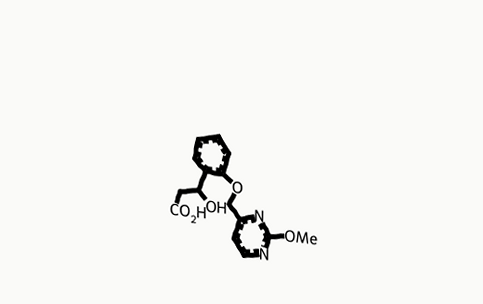 COc1nccc(COc2ccccc2C(O)CC(=O)O)n1